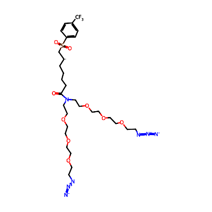 [N-]=[N+]=NCCOCCOCCOCCN(CCOCCOCCOCCN=[N+]=[N-])C(=O)CCCC[CH]CS(=O)(=O)c1ccc(C(F)(F)F)cc1